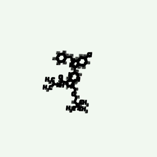 CC(C)NC(=O)c1cn(COCC[Si](C)(C)C)c2ncc(-c3nn(Cc4ccccc4)c4cc(Cl)ccc34)nc12